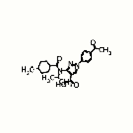 CC(=O)c1ccc(-n2cc(C(=O)O)c(N(C(=O)[C@H]3CC[C@H](C)CC3)C(C)C)n2)cc1